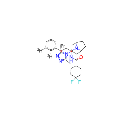 [2H]c1cccc(CCC(NC(=O)C2CCC(F)(F)CC2)N2C3CCC2CC(n2c(C)nnc2C(C)C)C3)c1[2H]